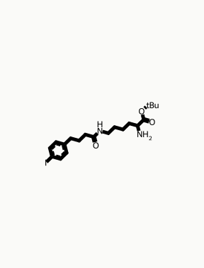 CC(C)(C)OC(=O)C(N)CCCCNC(=O)CCCc1ccc(I)cc1